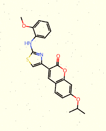 COc1ccccc1Nc1nc(-c2cc3ccc(OC(C)C)cc3oc2=O)cs1